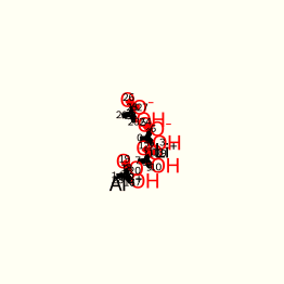 CC(=CO)C(=O)[O-].CC(=CO)C(=O)[O-].CC(=CO)C(=O)[O-].CC(=CO)C(=O)[O-].[Al+3].[Li+]